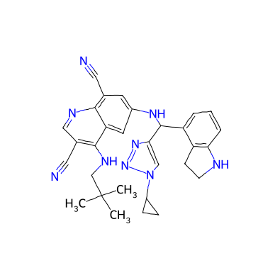 CC(C)(C)CNc1c(C#N)cnc2c(C#N)cc(NC(c3cn(C4CC4)nn3)c3cccc4c3CCN4)cc12